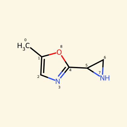 Cc1cnc(C2CN2)o1